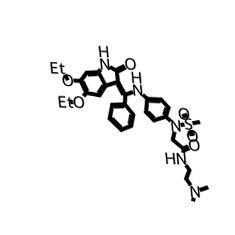 CCOc1cc2c(cc1OCC)/C(=C(/Nc1ccc(N(CC(=O)NCCN(C)C)S(C)(=O)=O)cc1)c1ccccc1)C(=O)N2